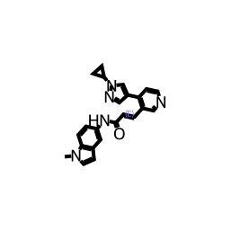 Cn1ccc2cc(NC(=O)/C=C/c3cnccc3-c3cnn(C4CC4)c3)ccc21